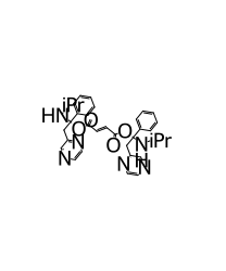 CC(C)NC(Cc1cnccn1)(OC(=O)/C=C/C(=O)OC(Cc1cnccn1)(NC(C)C)c1ccccc1)c1ccccc1